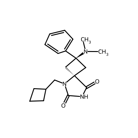 CN(C)[C@]1(c2ccccc2)C[C@]2(C1)C(=O)NC(=O)N2CC1CCC1